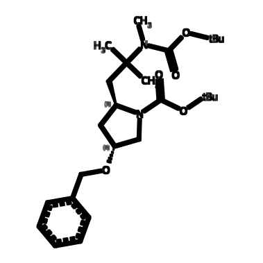 CN(C(=O)OC(C)(C)C)C(C)(C)C[C@@H]1C[C@@H](OCc2ccccc2)CN1C(=O)OC(C)(C)C